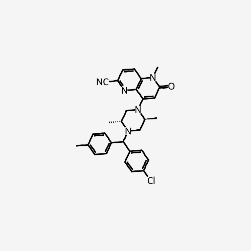 Cc1ccc(C(c2ccc(Cl)cc2)N2C[C@H](C)N(c3cc(=O)n(C)c4ccc(C#N)nc34)C[C@H]2C)cc1